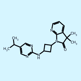 CC(C)c1cnc(NC2CC(N3C(=O)C(C)(C)c4cccnc43)C2)nc1